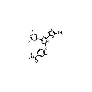 C[C@@H]1CN(c2nc(Oc3ccc(C(=O)N(C)C)cc3F)nc(-c3cnc(N)s3)n2)C[C@H](C)O1